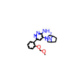 COCOc1ccccc1-c1cc(N2CC3CCC(C2)N3)c(N)nn1